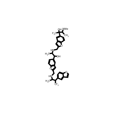 CNC(C)C(O)(c1ccc2oc(CNC(C)C(O)c3ccc4oc(CNC(C)C(c5ccc6occc6c5)C(F)(F)F)cc4c3)cc2c1)C(F)(F)F